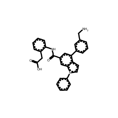 NCc1cccc(-c2cc(C(=O)Nc3ccccc3CC(=O)O)cc3c2ccn3-c2ccccc2)c1